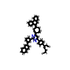 C=C/C(=C\C=C/C)c1ccc(-c2cc(C3=CC=C(c4cc5ccccc5c5ccccc45)CC=C3)nc(-c3cccc(-c4ccc5ccccc5c4)c3)n2)cc1